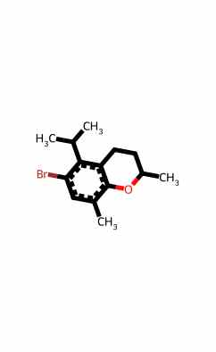 Cc1cc(Br)c(C(C)C)c2c1OC(C)CC2